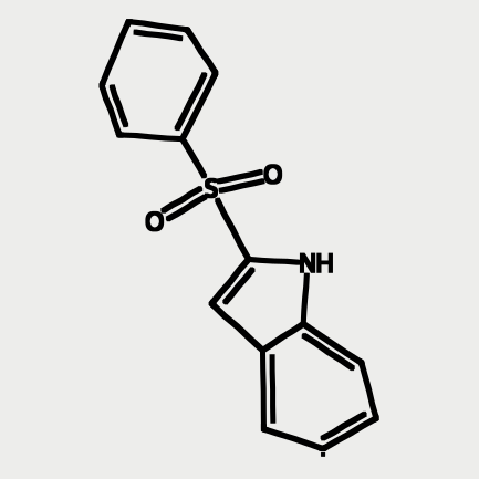 O=S(=O)(c1ccccc1)c1cc2c[c]ccc2[nH]1